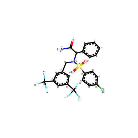 NC(=O)C(c1ccccc1)N(Cc1cc(C(F)(F)F)cc(C(F)(F)F)c1)S(=O)(=O)c1ccc(Cl)cc1